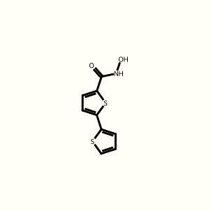 O=C(NO)c1ccc(-c2cccs2)s1